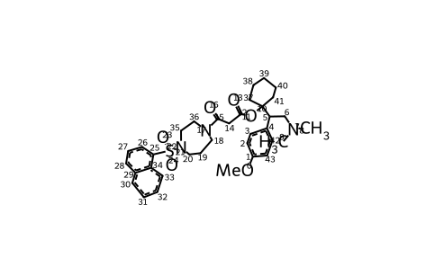 COc1ccc(C(CN(C)C)C2(OC(=O)CC(=O)N3CCCN(S(=O)(=O)c4cccc5ccccc45)CC3)CCCCC2)cc1